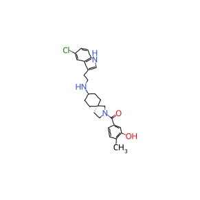 Cc1ccc(C(=O)N2CC[C@]3(CC[C@H](NCCc4c[nH]c5ccc(Cl)cc45)CC3)C2)cc1O